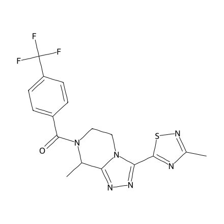 Cc1nsc(-c2nnc3n2CCN(C(=O)c2ccc(C(F)(F)F)cc2)C3C)n1